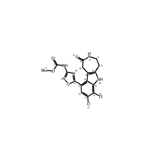 CC(C)(C)OC(=O)Nc1noc(-c2cc(Cl)c(Cl)c3[nH]c4c(c23)CC(=O)NCC4)n1